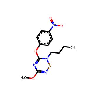 CCCCN1SN=C(OC)N=C1Oc1ccc([N+](=O)[O-])cc1